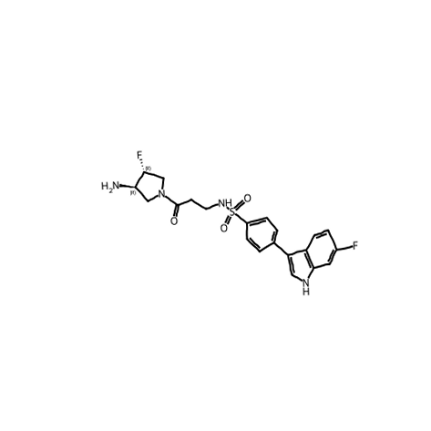 N[C@@H]1CN(C(=O)CCNS(=O)(=O)c2ccc(-c3c[nH]c4cc(F)ccc34)cc2)C[C@H]1F